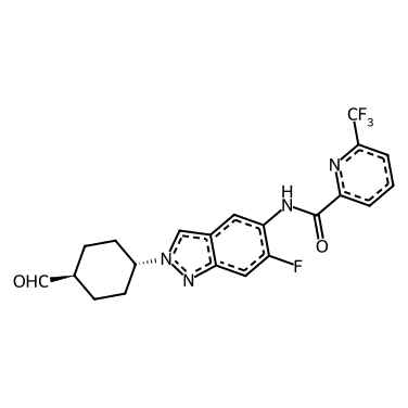 O=C[C@H]1CC[C@H](n2cc3cc(NC(=O)c4cccc(C(F)(F)F)n4)c(F)cc3n2)CC1